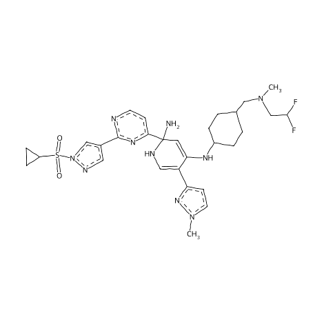 CN(CC(F)F)CC1CCC(NC2=CC(N)(c3ccnc(-c4cnn(S(=O)(=O)C5CC5)c4)n3)NC=C2c2ccn(C)n2)CC1